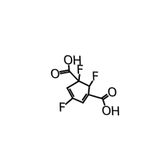 O=C(O)C1=CC(F)=CC(F)(C(=O)O)C1F